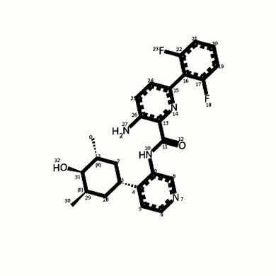 C[C@@H]1C[C@H](c2ccncc2NC(=O)c2nc(-c3c(F)cccc3F)ccc2N)C[C@@H](C)[C@H]1O